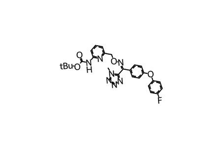 Cn1nnnc1/C(=N\OCc1cccc(NC(=O)OC(C)(C)C)n1)c1ccc(Oc2ccc(F)cc2)cc1